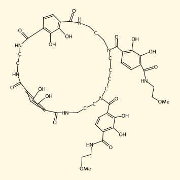 COCCNC(=O)c1ccc(C(=O)N2CCCCN(C(=O)c3ccc(C(=O)NCCOC)c(O)c3O)CCCNC(=O)c3ccc(c(O)c3O)C(=O)NCCNC(=O)c3ccc(c(O)c3O)C(=O)NCCC2)c(O)c1O